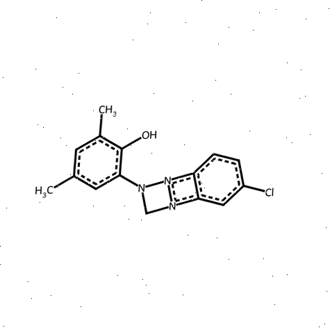 Cc1cc(C)c(O)c(N2Cn3c4cc(Cl)ccc4n32)c1